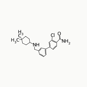 CC1(C)CCC(NCc2cccc(-c3ccc(C(N)=O)c(Cl)c3)c2)CC1